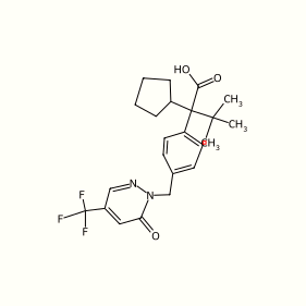 CC(C)(C)C(C(=O)O)(c1ccc(Cn2ncc(C(F)(F)F)cc2=O)cc1)C1CCCC1